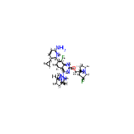 Nc1ccc(C2CC2)c(-c2ccc3c(N4C[C@H]5CC[C@@H](C4)N5)nc(OC[C@@]45CCCN4C[C@H](F)C5)nc3c2F)n1